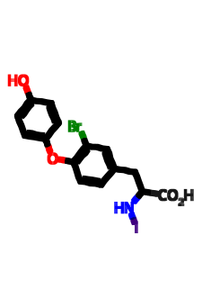 O=C(O)C(Cc1ccc(Oc2ccc(O)cc2)c(Br)c1)NI